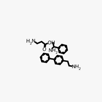 CC(N)c1ccccc1.NCCC(=O)O.NCCc1ccc(-c2ccccc2)cc1